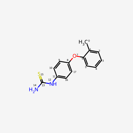 Cc1ccccc1Oc1ccc(NC(N)=S)cc1